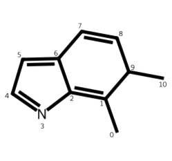 CC1=C2N=CC=C2C=CC1C